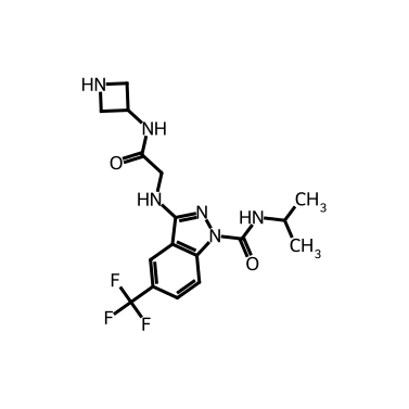 CC(C)NC(=O)n1nc(NCC(=O)NC2CNC2)c2cc(C(F)(F)F)ccc21